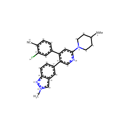 CNC1CCN(c2cc(-c3ccc(C#N)c(F)c3)c(-c3ccc4nn(C)cc4c3)cn2)CC1